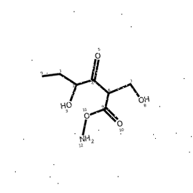 CCC(O)C(=O)C(CO)C(=O)ON